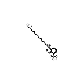 CCCCCCCCCCCCNn1nnc2c(S(=O)(=O)O)cccc21